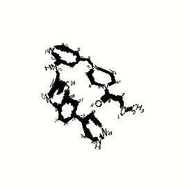 COCC(=O)N1CCN(Cc2ccnc(Nc3nc4ccc(-c5cn[nH]c5)cc4s3)c2)CC1